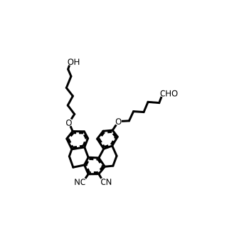 N#Cc1c(C#N)c2c(c3c1CCc1cc(OCCCCCC=O)ccc1-3)-c1ccc(OCCCCCCO)cc1CC2